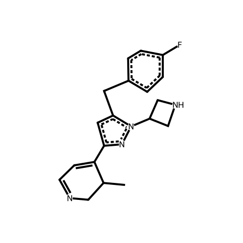 CC1CN=CC=C1c1cc(Cc2ccc(F)cc2)n(C2CNC2)n1